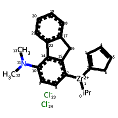 C[CH](C)[Zr+2]([C]1=CC=CC1)[c]1ccc(N(C)C)c2c1Cc1ccccc1-2.[Cl-].[Cl-]